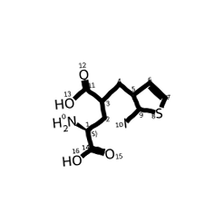 N[C@@H](CC(CC1C=CSC1I)C(=O)O)C(=O)O